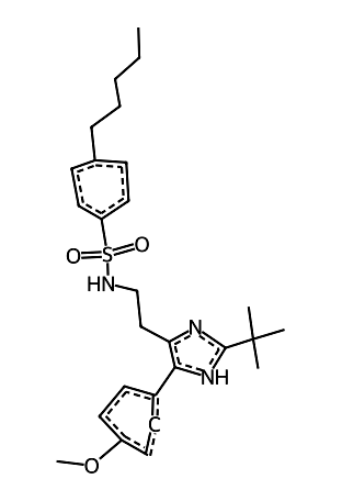 CCCCCc1ccc(S(=O)(=O)NCCc2nc(C(C)(C)C)[nH]c2-c2ccc(OC)cc2)cc1